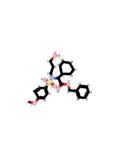 COc1ccc(S(=O)(=O)N(CCCO)C(C(=O)OCc2ccccc2)C2CCCCC2)cc1